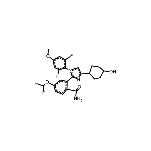 COc1cc(F)c(-n2cc(C3CCC(O)CC3)nc2-c2cc(OC(F)F)ccc2C(N)=O)c(F)c1